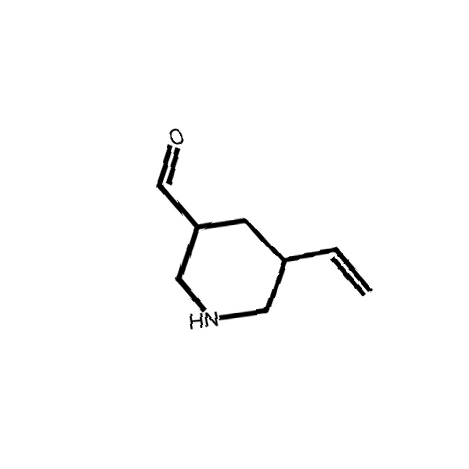 C=CC1CNCC(C=O)C1